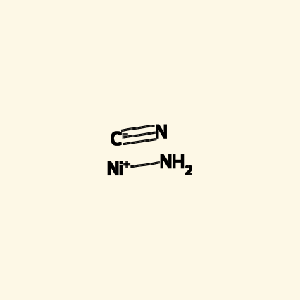 [C-]#N.[NH2][Ni+]